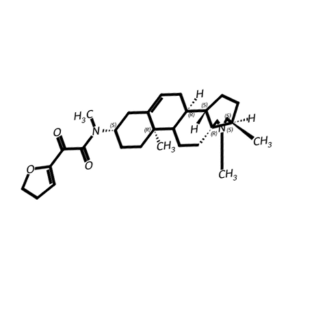 C[C@H]1[C@H]2CC[C@H]3[C@@H]4CC=C5C[C@@H](N(C)C(=O)C(=O)C6=CCCO6)CC[C@]5(C)C4CC[C@]23CN1C